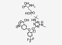 CCNc1nc(Cl)nc(NC(C)(C)C)n1.CP(=O)(O)CCC(N)C(=O)O.O=C(O)c1cc(Oc2ccc(C(F)(F)F)cc2Cl)ccc1[N+](=O)[O-]